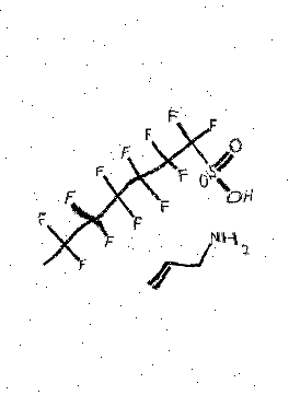 C=CCN.CC(F)(F)C(F)(F)C(F)(F)C(F)(F)C(F)(F)C(F)(F)S(=O)(=O)O